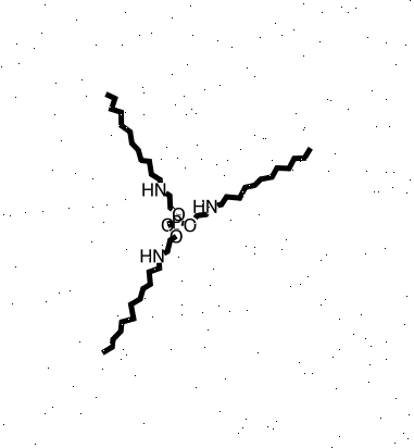 CCCCCCCCCCCCNCCOP(=O)(OCCNCCCCCCCCCCCC)OCCNCCCCCCCCCCCC